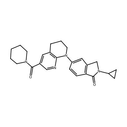 O=C(c1cnc2c(c1)CCCN2c1ccc2c(c1)CN(C1CC1)C2=O)N1CCCCC1